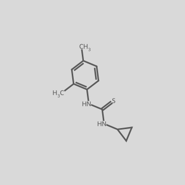 Cc1ccc(NC(=S)NC2CC2)c(C)c1